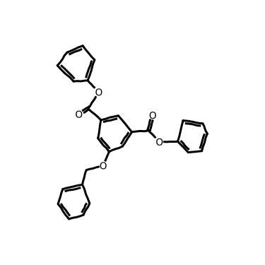 O=C(Oc1ccccc1)c1cc(OCc2ccccc2)cc(C(=O)Oc2ccccc2)c1